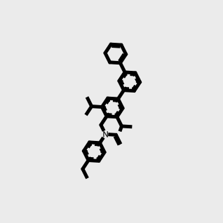 C=CN(Cc1c(C(C)C)cc(-c2cccc(C3=CC=CCC3)c2)cc1C(C)C)c1ccc(CC)cc1